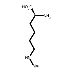 CCCCNCCCC[C@H](N)C(=O)O